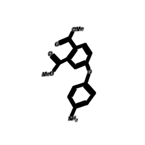 COC(=O)c1ccc(Oc2ccc(N)cc2)cc1C(=O)OC